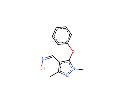 Cc1nn(C)c(Oc2ccccc2)c1/C=N\O